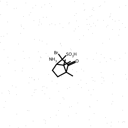 CC12CCC(C1(C)C)C(Br)(S(=O)(=O)O)C2=O.N